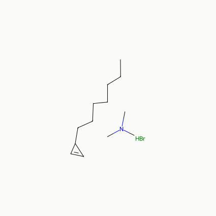 Br.CCCCCCCC1C=C1.CN(C)C